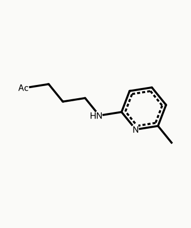 CC(=O)CCCNc1cccc(C)n1